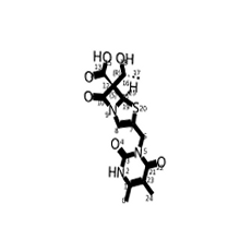 Cc1[nH]c(=O)n(CC2=CN3C(=O)[C@](C(=O)O)([C@@H](C)O)[C@H]3S2)c(=O)c1C